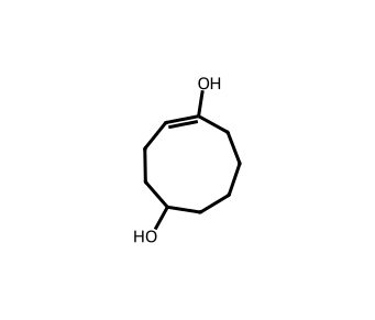 OC1=CCCC(O)CCCC1